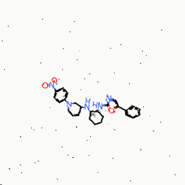 O=[N+]([O-])c1ccc(N2CCCC(N[C@@H]3CCCC[C@H]3Nc3ncc(-c4ccccc4)o3)C2)cc1